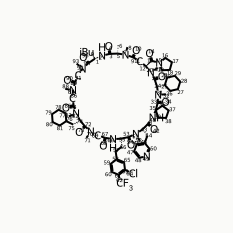 CC[C@H](C)[C@@H]1NC(=O)[C@H](C)N(C)C(=O)C[C@@H](C(=O)N2CCCC2)N(C)C(=O)[C@H](C2CCCCC2)N(C)C(=O)C2(CCCC2)NC(=O)[C@H](Cc2cccnc2)N(C)C(=O)[C@H](CCc2ccc(C(F)(F)F)c(Cl)c2)NC(=O)CN(C)C(=O)[C@H](CC2CCCCC2)N(C)C(=O)CN(C)C(=O)CN(C)C1=O